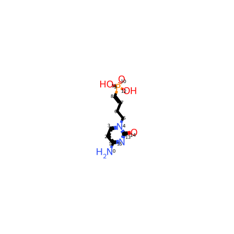 Nc1ccn(CC/C=C/P(=O)(O)O)c(=O)n1